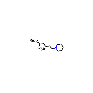 CCOC(=O)C(CCCCN1CCCCC1)C(=O)OCC